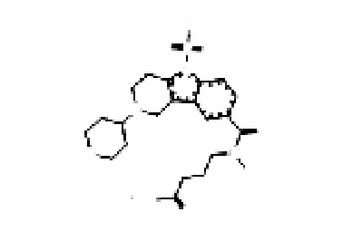 CCS(=O)(=O)n1c2c(c3cc(C(=O)N(C)CCCC(=O)NC)ccc31)CN(C1CCOCC1)CC2